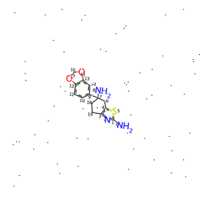 Nc1nc2c(s1)CC(N)(c1ccc3c(c1)OCO3)CC2